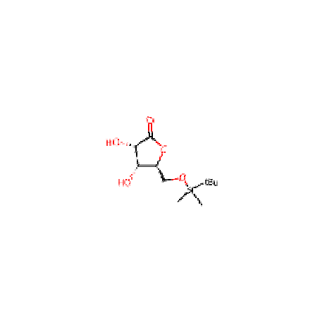 CC(C)(C)[Si](C)(C)OC[C@@H]1OC(=O)[C@@H](O)[C@H]1O